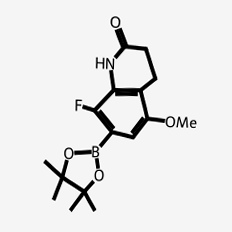 COc1cc(B2OC(C)(C)C(C)(C)O2)c(F)c2c1CCC(=O)N2